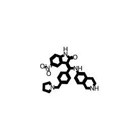 O=C1Nc2ccc([N+](=O)[O-])cc2C1=C(Nc1ccc2c(c1)CCNC2)c1ccc(CN2CCCC2)cc1